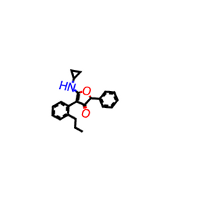 CCCc1ccccc1C1=C(NC2CC2)OC(c2ccccc2)C1=O